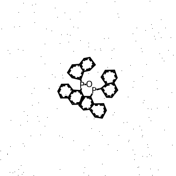 c1ccc2c(P(OP(c3cccc4ccccc34)c3cccc4ccccc34)c3cccc4ccccc34)cccc2c1